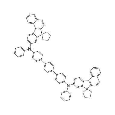 c1ccc(N(c2ccc(-c3ccc(-c4ccc(N(c5ccccc5)c5ccc6c(c5)C5(CCCC5)c5ccc7ccccc7c5-6)cc4)cc3)cc2)c2ccc3c(c2)C2(CCCC2)c2ccc4ccccc4c2-3)cc1